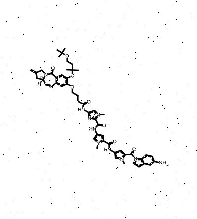 C=C1C[C@H]2C=Nc3cc(OCCCC(=O)Nc4cn(C)c(C(=O)Nc5cc(C(=O)Nc6cc(C(=O)n7ccc8cc(N)ccc87)n(C)c6)n(C)c5)n4)c(OC(C)(C)CCOC(C)(C)C)cc3C(=O)N2C1